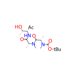 CC(=O)[C@H](NC(=O)[C@@H](C)N(C)C(=O)[C@H](C)N(C)C(=O)OC(C)(C)C)[C@H](C)O